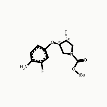 CC(C)(C)OC(=O)N1C[C@@H](F)[C@H](Oc2ccc(N)c(F)c2)C1